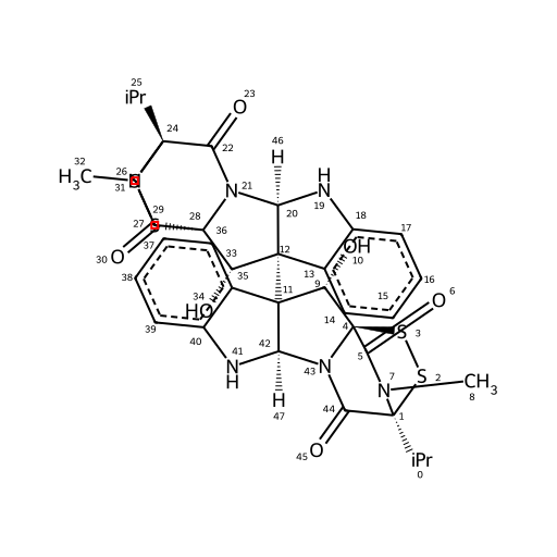 CC(C)[C@@]12SS[C@]3(C(=O)N1C)[C@@H](O)C1([C@@]45c6ccccc6N[C@@H]4N4C(=O)[C@]6(C(C)C)SS[C@]4(C(=O)N6C)[C@H]5O)c4ccccc4N[C@@H]1N3C2=O